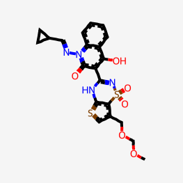 COCOCc1csc2c1S(=O)(=O)N=C(c1c(O)c3ccccc3n(/N=C/C3CC3)c1=O)N2